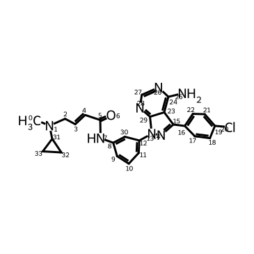 CN(C/C=C/C(=O)Nc1cccc(-n2nc(-c3ccc(Cl)cc3)c3c(N)ncnc32)c1)C1CC1